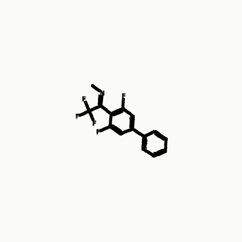 C/N=C(/c1c(F)cc(-c2ccccc2)cc1F)C(F)(F)F